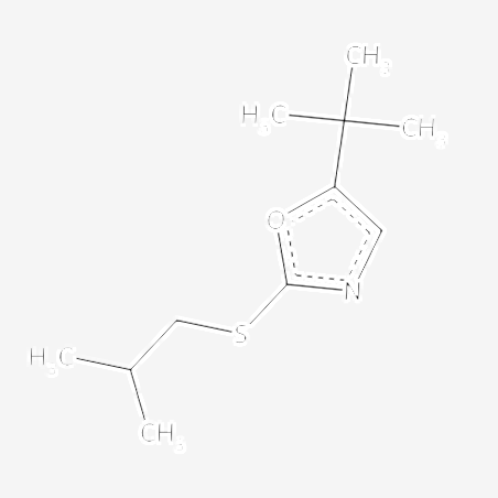 CC(C)CSc1ncc(C(C)(C)C)o1